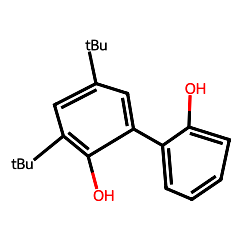 CC(C)(C)c1cc(-c2ccccc2O)c(O)c(C(C)(C)C)c1